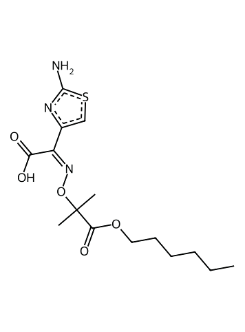 CCCCCCOC(=O)C(C)(C)ON=C(C(=O)O)c1csc(N)n1